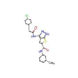 COc1cccc(NC(=O)c2cc3c(NC(=O)Cc4ccc(Cl)cc4)n[nH]c3s2)c1